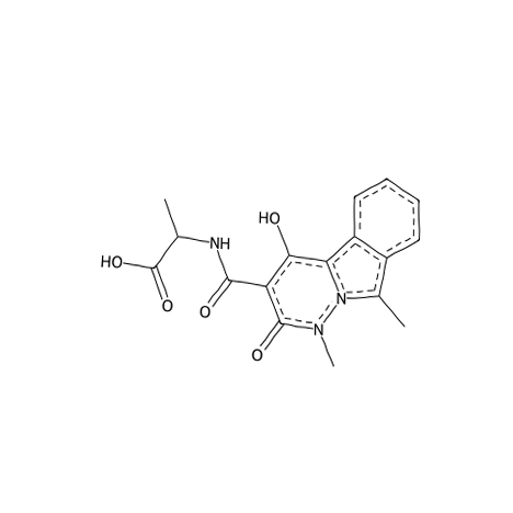 Cc1c2ccccc2c2c(O)c(C(=O)NC(C)C(=O)O)c(=O)n(C)n12